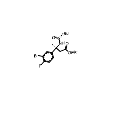 COC(=O)C[C@](C)(N[S+]([O-])C(C)(C)C)c1ccc(F)c(Br)c1